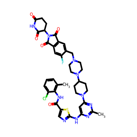 Cc1nc(Nc2ncc(C(=O)Nc3c(C)cccc3Cl)s2)cc(N2CCC(N3CCN(Cc4cc5c(cc4F)C(=O)N(C4CCC(=O)NC4=O)C5=O)CC3)CC2)n1